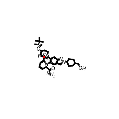 CC(C)(C)[Si](C)(C)OC1CCN(c2cc3nn(C4CCC(CO)CC4)cc3cc2N2C(C(F)(F)F)=CC=CC2C(N)=O)CC1